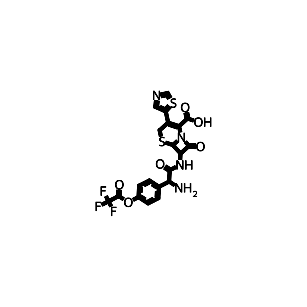 NC(C(=O)NC1C(=O)N2C(C(=O)O)=C(c3cncs3)CSC12)c1ccc(OC(=O)C(F)(F)F)cc1